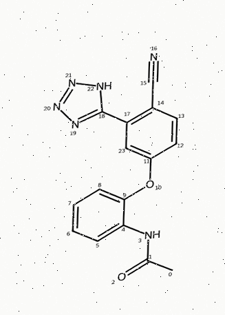 CC(=O)Nc1ccccc1Oc1ccc(C#N)c(-c2nnn[nH]2)c1